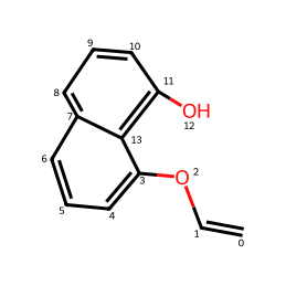 C=COc1cccc2cccc(O)c12